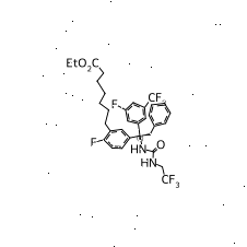 CCOC(=O)CCCCCCc1cc([C@@](Cc2ccccc2)(NC(=O)NCC(F)(F)F)c2cc(F)cc(C(F)(F)F)c2)ccc1F